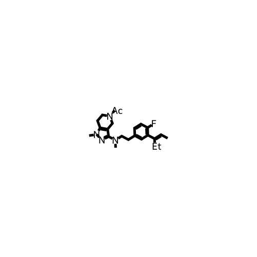 C/C=C(\CC)c1cc(CCN(C)c2nn(C)c3c2CN(C(C)=O)CC3)ccc1F